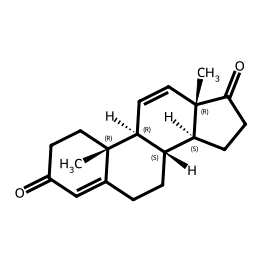 C[C@]12CCC(=O)C=C1CC[C@@H]1[C@@H]2C=C[C@]2(C)C(=O)CC[C@@H]12